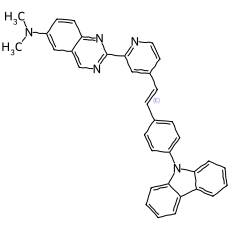 CN(C)c1ccc2nc(-c3cc(/C=C/c4ccc(-n5c6ccccc6c6ccccc65)cc4)ccn3)ncc2c1